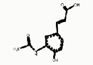 CC(=O)Nc1cc(/C=C/C(=O)O)ccc1O